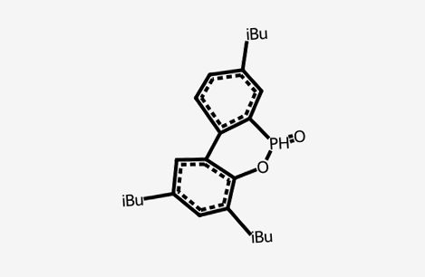 CCC(C)c1cc2c(c(C(C)CC)c1)O[PH](=O)c1cc(C(C)CC)ccc1-2